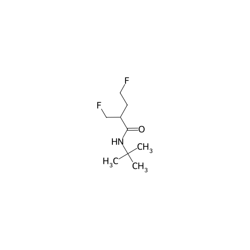 CC(C)(C)NC(=O)C(CF)CCF